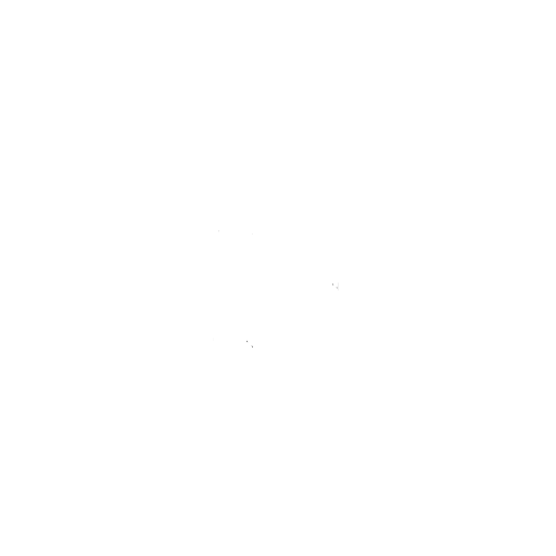 C=C(C)c1cc(N=C=O)cc(N=C=O)c1